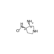 N[C@H]1CNCC[C@H]1NCl